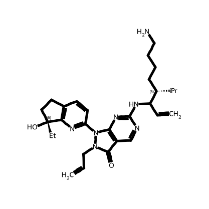 C=CCn1c(=O)c2cnc(NC(C=C)[C@H](CCCCN)C(C)C)nc2n1-c1ccc2c(n1)[C@@](O)(CC)CC2